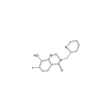 O=c1c2ccc(I)c(O)c2ncn1Cc1ccccn1